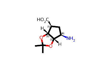 CC1(C)O[C@@H]2[C@H](O1)[C@@H](C(=O)O)C[C@H]2N